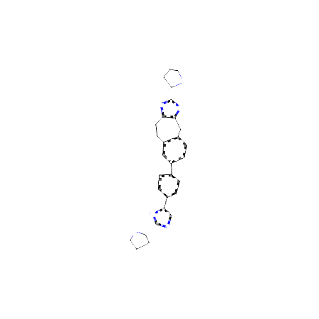 c1cc(-c2cnc([C@@H]3CCCN3)[nH]2)ccc1-c1ccc2c(c1)CCc1[nH]c([C@@H]3CCCN3)nc1C2